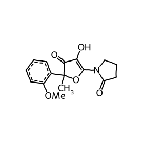 COc1ccccc1C1(C)OC(N2CCCC2=O)=C(O)C1=O